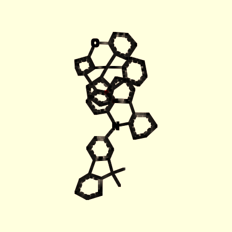 CC1(C)c2ccccc2-c2ccc(N(c3ccc(-c4cccc5c4C4(c6ccccc6O5)c5ccccc5-c5ccccc54)cc3)c3ccccc3-c3ccccc3)cc21